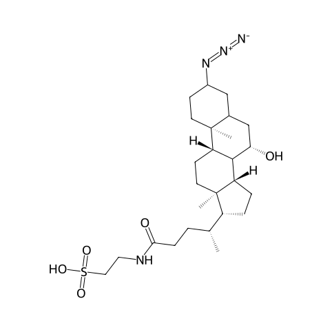 C[C@H](CCC(=O)NCCS(=O)(=O)O)[C@H]1CC[C@H]2C3[C@@H](O)CC4CC(N=[N+]=[N-])CC[C@]4(C)[C@H]3CC[C@]12C